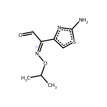 CC(C)O/N=C(/[C]=O)c1csc(N)n1